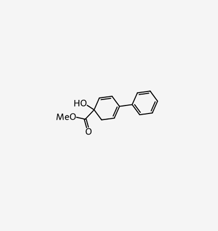 COC(=O)C1(O)C=CC(c2ccccc2)=CC1